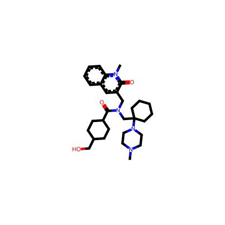 CN1CCN(C2(CN(Cc3cc4ccccc4n(C)c3=O)C(=O)C3CCC(CO)CC3)CCCCC2)CC1